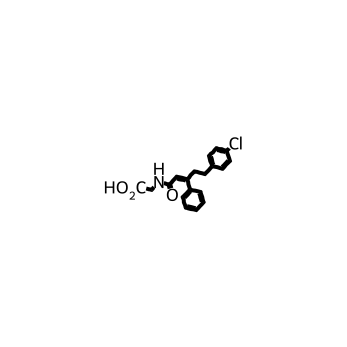 O=C(O)CNC(=O)/C=C(/CCc1ccc(Cl)cc1)c1ccccc1